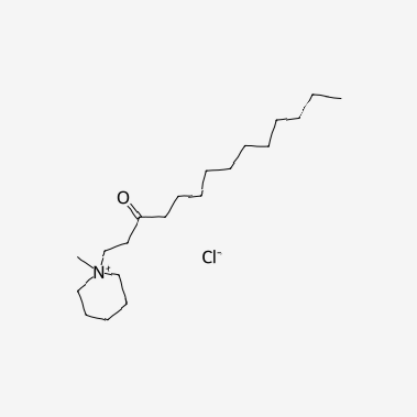 CCCCCCCCCCCC(=O)CC[N+]1(C)CCCCC1.[Cl-]